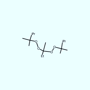 CCC(C)(OOC(C)(C)C(C)C)OOC(C)(C)C(C)C